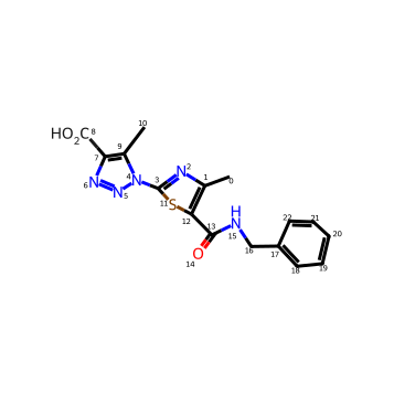 Cc1nc(-n2nnc(C(=O)O)c2C)sc1C(=O)NCc1ccccc1